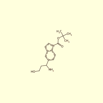 CC(C)(C)OC(=O)n1ccc2cc(C(N)CCO)ccc21